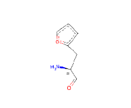 N[C@H](C=O)Cc1ccco1